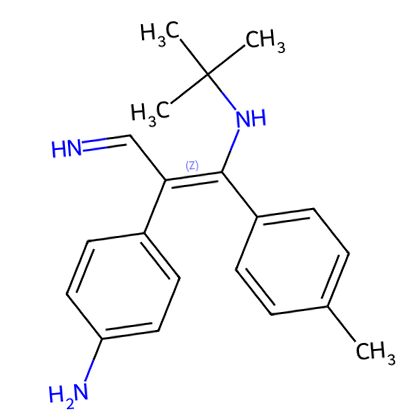 Cc1ccc(/C(NC(C)(C)C)=C(/C=N)c2ccc(N)cc2)cc1